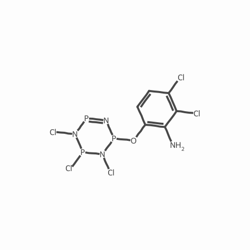 Nc1c(Op2npn(Cl)p(Cl)n2Cl)ccc(Cl)c1Cl